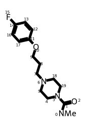 CNC(=O)N1CCN(CCCOc2ccc(F)cc2)CC1